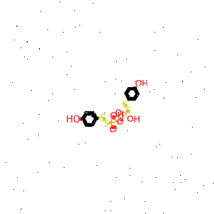 O=P(O)(OP(=O)(O)SSc1ccc(O)cc1)SSc1ccc(O)cc1